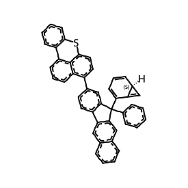 C1=C[C@H]2C=C2C(C2(c3ccccc3)c3cc(-c4ccc5c6c(cccc46)-c4ccccc4S5)ccc3-c3cc4ccccc4cc32)=C1